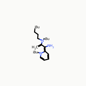 C=C(/C(N)=C1/C=CC=CN1C(C)CC)N(CCCC)CCCC(C)CC